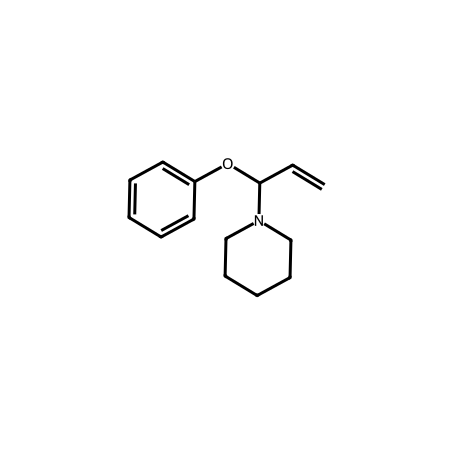 C=CC(Oc1ccccc1)N1CCCCC1